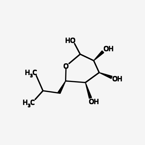 CC(C)C[C@H]1OC(O)[C@@H](O)[C@@H](O)[C@H]1O